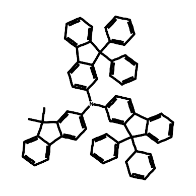 CC1(C)c2ccccc2-c2ccc(N(c3ccc4c(c3)C(c3ccccc3)(c3ccccc3)c3ccccc3-4)c3ccc4c(c3)C(c3ccccc3)(C3C=CC=CC3)c3ccccc3-4)cc21